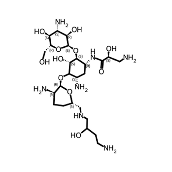 NCCC(O)CNC[C@@H]1CC[C@@H](N)[C@@H](OC2[C@@H](N)C[C@@H](NC(=O)[C@@H](O)CN)[C@H](O[C@H]3O[C@H](CO)[C@@H](O)[C@H](N)[C@H]3O)[C@H]2O)O1